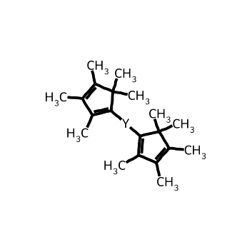 CC1=C(C)C(C)(C)[C]([Y][C]2=C(C)C(C)=C(C)C2(C)C)=C1C